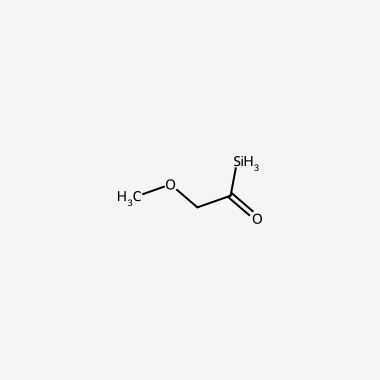 COCC(=O)[SiH3]